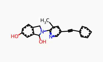 Cc1cc(C#Cc2ccccc2)cnc1N1Cc2ccc(O)cc2C1O